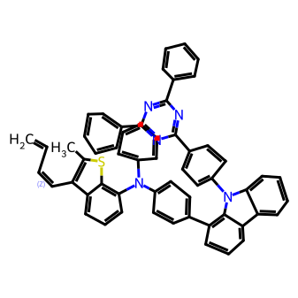 C=C/C=C\c1c(C)sc2c(N(c3ccccc3)c3ccc(-c4cccc5c6ccccc6n(-c6ccc(-c7nc(-c8ccccc8)nc(-c8ccccc8)n7)cc6)c45)cc3)cccc12